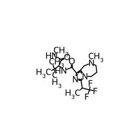 CNC(=O)C(NC(=O)c1nc(C(C)C(F)(F)F)n2c1CN(C)CCC2)C(C)(C)C